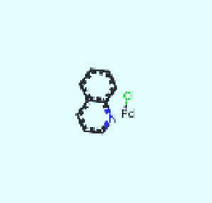 [Cl][Pd].c1ccc2ncccc2c1